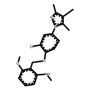 CNc1cccc(OC)c1COc1ccc(-n2nc(C)c(C)c2C)cc1Cl